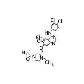 CCN1CCN(C(C)=O)CC1COc1cc2ncnc(Nc3ccc(Cl)c(Cl)c3)c2cc1OC